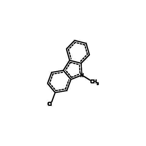 Cn1c2ccccc2c2ccc(Cl)cc21